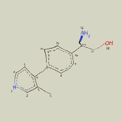 Cc1cnccc1-c1ccc([C@@H](N)CO)cc1